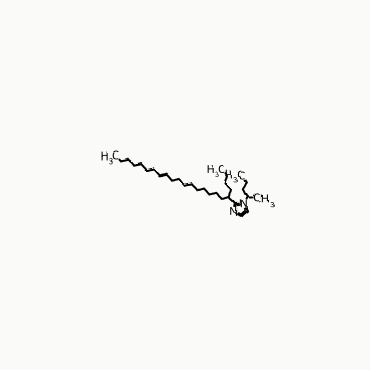 CCCCCCCCCCCCCCCCCCC(CCCC)c1nccn1C(C)CCC